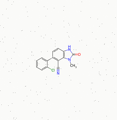 Cn1c(=O)[nH]c2ccc(-c3ccccc3Cl)c(C#N)c21